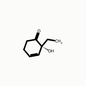 CC[C@@]1(O)C=CCCC1=O